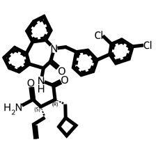 C=CC[C@H](C(N)=O)[C@@H](CC1CCC1)C(=O)NC1C(=O)N(Cc2cccc(-c3ccc(Cl)cc3Cl)c2)c2ccccc2-c2ccccc21